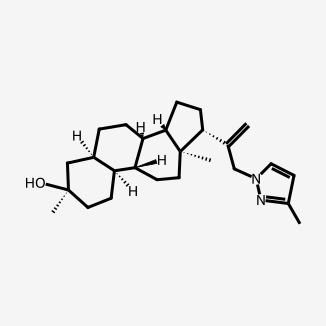 C=C(Cn1ccc(C)n1)[C@H]1CC[C@H]2[C@@H]3CC[C@@H]4C[C@](C)(O)CC[C@@H]4[C@H]3CC[C@]12C